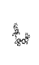 COc1ccc(N)c(C(=O)NCCC[C@@H]2CN(c3ccc4c(c3)NC(=O)CS4)C(=O)O2)c1